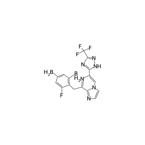 Bc1cc(B)c(Cc2nc(-c3nc(C(F)(F)F)n[nH]3)cn3ccnc23)c(F)c1